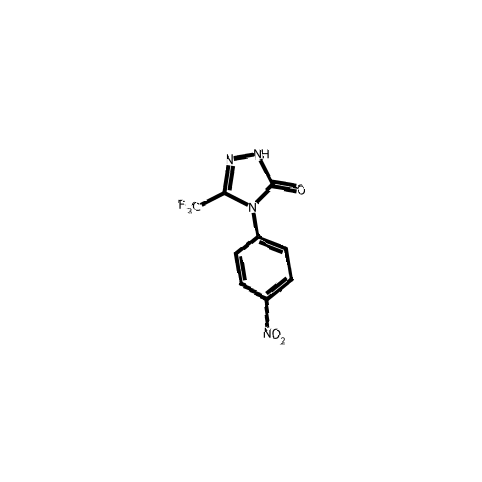 O=c1[nH]nc(C(F)(F)F)n1-c1ccc([N+](=O)[O-])cc1